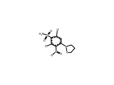 NS(=O)(=O)c1c(Cl)cc(N2CCCO2)c([N+](=O)[O-])c1Cl